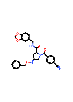 N#Cc1ccc(C(=O)N2CC(=NOCc3ccccc3)C[C@H]2C(=O)NCc2ccc3c(c2)OCO3)cc1